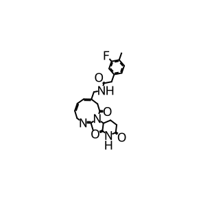 C/C1=N/C/C=C\C=C(\CNC(=O)Cc2ccc(C)c(F)c2)CC(=O)N1C1CCC(=O)NC1=O